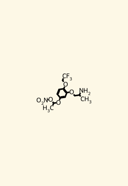 CC(N)COc1cc(OC(C)O[N+](=O)[O-])ccc1OCC(F)(F)F